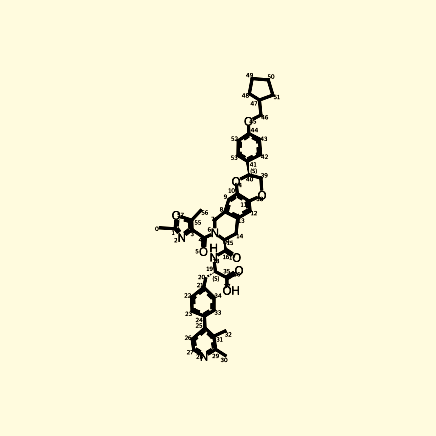 Cc1nc(C(=O)N2Cc3cc4c(cc3C[C@H]2C(=O)N[C@@H](Cc2ccc(-c3ccnc(C)c3C)cc2)C(=O)O)OC[C@H](c2ccc(OCC3CCCC3)cc2)O4)c(C)o1